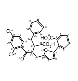 O=C(O)c1ccccc1-c1ccc(CN(C(=O)c2ccc(Cl)cc2Cl)C(Cc2ccccc2)C(=O)O)o1